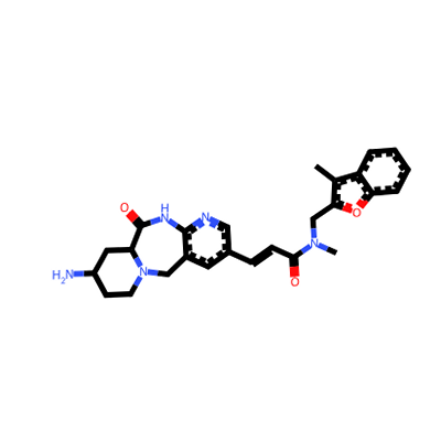 Cc1c(CN(C)C(=O)/C=C/c2cnc3c(c2)CN2CCC(N)CC2C(=O)N3)oc2ccccc12